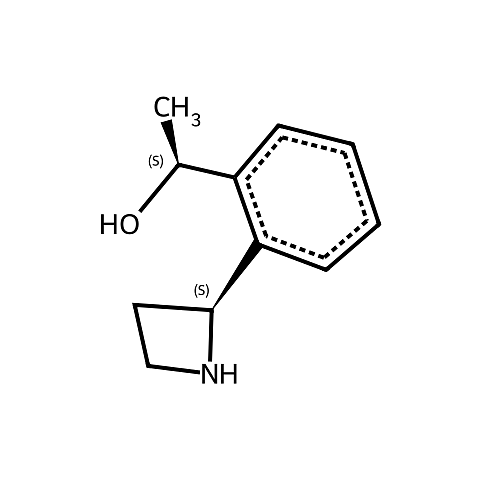 C[C@H](O)c1ccccc1[C@@H]1CCN1